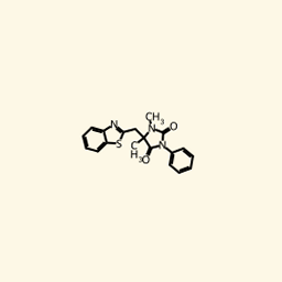 CN1C(=O)N(c2ccccc2)C(=O)C1(C)Cc1nc2ccccc2s1